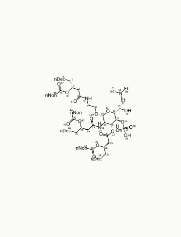 CCCCCCCCCCC[C@H](CC(=O)NCCO[C@@H]1O[C@H](CO)[C@@H](OP(=O)(O)O)[C@H](OC(=O)C[C@@H](CCCCCCCCCCC)OC(=O)CCCCCCCCC)[C@H]1NC(=O)C[C@@H](CCCCCCCCCCC)OC(=O)CCCCCCCCC)OC(=O)CCCCCCCCC.CCN(CC)CC